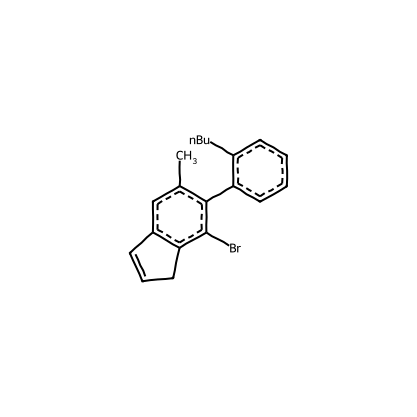 CCCCc1ccccc1-c1c(C)cc2c(c1Br)CC=C2